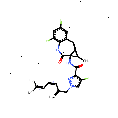 C=C(/C=C\C=C(/C)C#N)Cn1cc(F)c(C(=O)NC23C(=O)Nc4c(F)cc(F)cc4C4C2C43C)n1